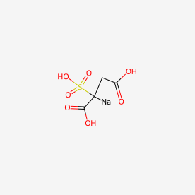 O=C(O)C[C]([Na])(C(=O)O)S(=O)(=O)O